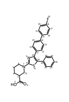 O=C(O)C1CCCN(c2nc(-c3ccc(-c4ccc(F)cc4)cc3)c(-c3ccccc3)s2)C1